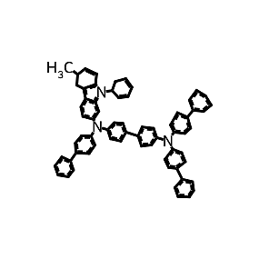 CC1C=Cc2c(c3ccc(N(c4ccc(-c5ccccc5)cc4)c4ccc(-c5ccc(N(c6ccc(-c7ccccc7)cc6)c6ccc(-c7ccccc7)cc6)cc5)cc4)cc3n2C2C=CC=CC2)C1